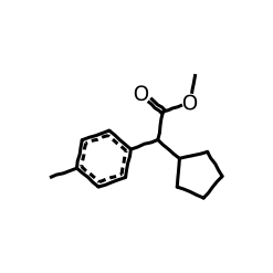 COC(=O)C(c1ccc(C)cc1)C1CCCC1